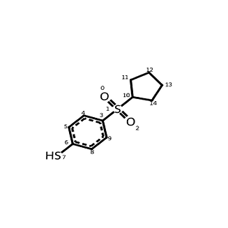 O=S(=O)(c1ccc(S)cc1)C1CCCC1